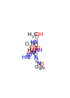 CC(C)c1ccccc1[C@@H]1COCCN1[C@H]1CC12CCN(c1ccc(C(=O)NS(=O)(=O)c3ccc(NCC4CCC(C)(O)CC4)c([N+](=O)[O-])c3)c(N3c4cc5cc[nH]c5nc4O[C@H]4COCC[C@@H]43)c1)CC2